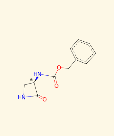 O=C(N[C@@H]1CNC1=O)OCc1ccccc1